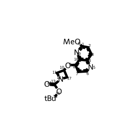 COc1ccc2nccc(OC3CN(C(=O)OC(C)(C)C)C3)c2n1